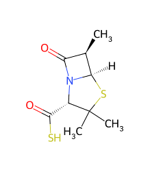 C[C@@H]1C(=O)N2[C@@H]1SC(C)(C)[C@@H]2C(=O)S